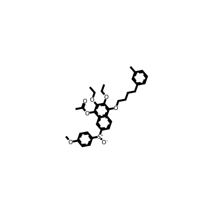 CCOc1c(OCC)c(OC(C)=O)c2cc([S+]([O-])c3ccc(OC)cc3)ccc2c1OCCCCc1cccc(C)c1